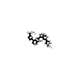 CC(=O)c1ccc(-c2cncc3[nH]c(-c4n[nH]c5cnc(-c6cnn(C)c6)cc45)nc23)s1